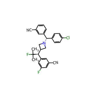 CC(C)(F)[C@H](c1cc(F)cc(C#N)c1)C1CN([C@@H](c2ccc(Cl)cc2)c2cccc(C#N)c2)C1